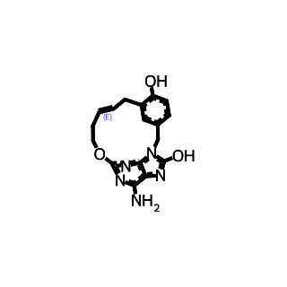 Nc1nc2nc3c1nc(O)n3Cc1ccc(O)c(c1)C/C=C/CCO2